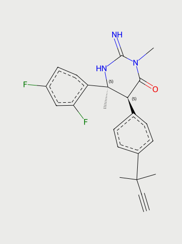 C#CC(C)(C)c1ccc([C@@H]2C(=O)N(C)C(=N)N[C@]2(C)c2ccc(F)cc2F)cc1